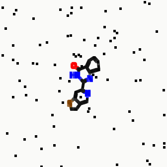 O=c1[nH]c(-c2cc3sccc3cn2)nc2ccccc12